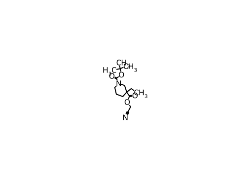 CCC1(C(=O)OCC#N)CCCN(C(=O)OC(C)(C)C)C1